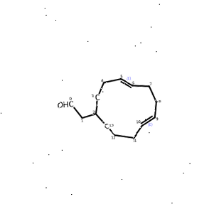 O=CCC1CC/C=C/CC/C=C/CCC1